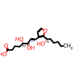 CCCCC[C@H](O)c1occc1/C=C/[C@@H](O)[C@@H](O)CCCC(=O)O